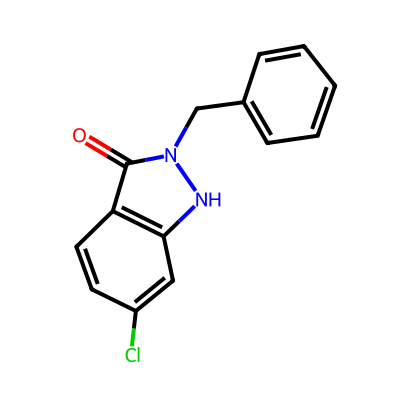 O=c1c2ccc(Cl)cc2[nH]n1Cc1ccccc1